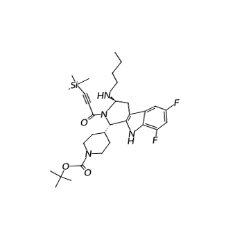 CCCCN[C@H]1Cc2c([nH]c3c(F)cc(F)cc23)[C@H](C2CCN(C(=O)OC(C)(C)C)CC2)N1C(=O)C#C[Si](C)(C)C